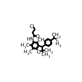 Cc1c(C)c2c(c(C)c1NC(=O)CCCl)C(c1ccc(C(C)C)cc1)C(C)(C)O2